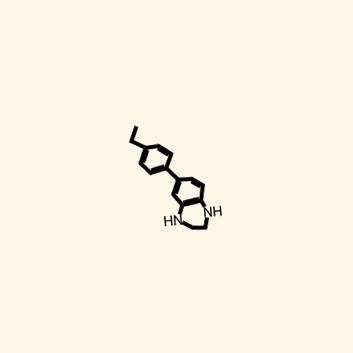 CCc1ccc(-c2ccc3c(c2)NCCN3)cc1